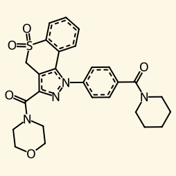 O=C(c1ccc(-n2nc(C(=O)N3CCOCC3)c3c2-c2ccccc2S(=O)(=O)C3)cc1)N1CCCCC1